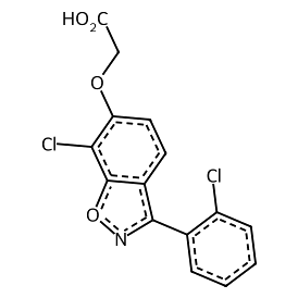 O=C(O)COc1ccc2c(-c3ccccc3Cl)noc2c1Cl